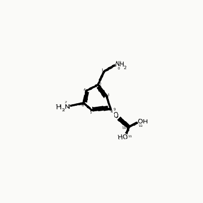 NCc1cccc(N)c1.O=C(O)O